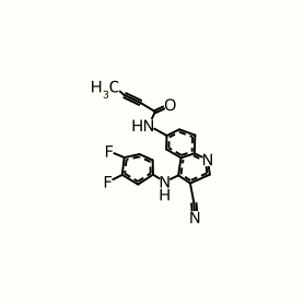 CC#CC(=O)Nc1ccc2ncc(C#N)c(Nc3ccc(F)c(F)c3)c2c1